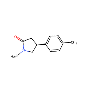 CON1C[C@H](c2ccc(C)cc2)CC1=O